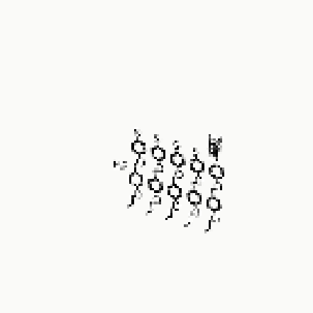 CCCOc1ccc(COc2ccc([S])cc2)cc1.CCCOc1ccc(COc2ccc([S])cc2)cc1.CCCOc1ccc(COc2ccc([S])cc2)cc1.CCCOc1ccc(COc2ccc([S])cc2)cc1.CCCOc1ccc(COc2ccc([S])cc2)cc1.F.F.F.F.F